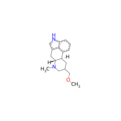 COCC1C[C@@H]2c3cccc4[nH]cc(c34)C[C@H]2N(C)C1